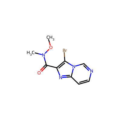 CON(C)C(=O)c1nc2ccncn2c1Br